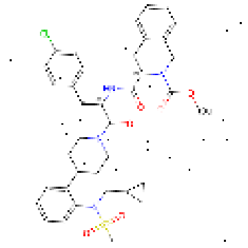 CC(C)(C)OC(=O)N1Cc2ccccc2C[C@H]1C(=O)N[C@H](Cc1ccc(Cl)cc1)C(=O)N1CCC(c2ccccc2N(CC2CC2)S(C)(=O)=O)CC1